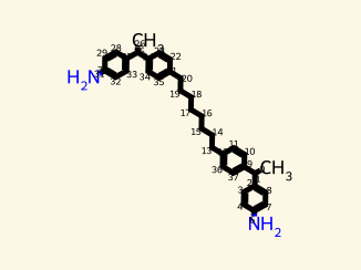 CC(c1ccc(N)cc1)c1ccc(CCCCCCCCc2ccc(C(C)c3ccc(N)cc3)cc2)cc1